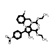 CCOC(=O)c1c(N(Cc2c(F)cccc2F)C(=O)OCC)sc(-c2ccc([N+](=O)[O-])cc2)c1C